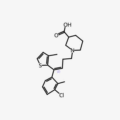 Cc1ccsc1/C(=C\CCN1CCCC(C(=O)O)C1)c1cccc(Cl)c1C